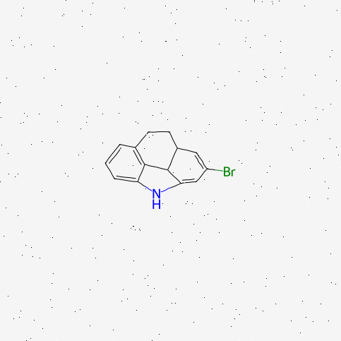 BrC1=CC2CCc3cccc4c3C2C(=C1)N4